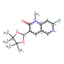 Cn1c(=O)c(B2OC(C)(C)C(C)(C)O2)cc2cnc(Cl)cc21